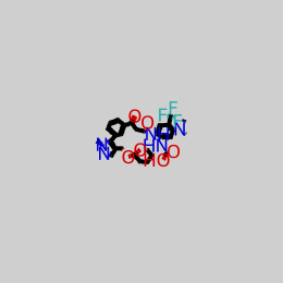 CN(C)c1cc(NC(=O)O)c(NC(=O)CC(=O)c2cccc(-c3c(COC4CCCCO4)cnn3C)c2)cc1C(F)(F)F